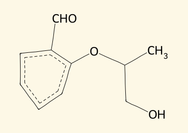 CC(CO)Oc1ccccc1C=O